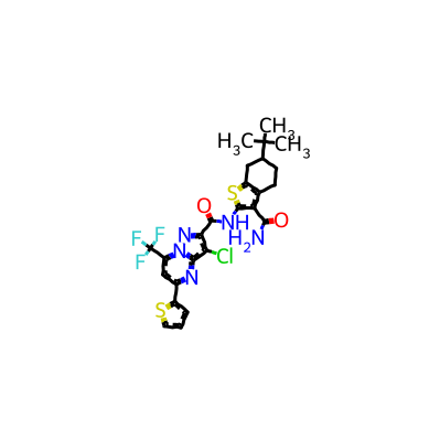 CC(C)(C)C1CCc2c(sc(NC(=O)c3nn4c(C(F)(F)F)cc(-c5cccs5)nc4c3Cl)c2C(N)=O)C1